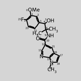 COc1cc(C(O)C(C)(C)NC(=O)c2cnc3c(ccn3C)c2)ccc1F